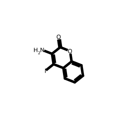 Nc1c(I)c2ccccc2oc1=O